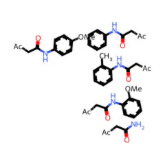 CC(=O)CC(=O)Nc1ccccc1.CC(=O)CC(=O)Nc1ccccc1C.CC(=O)CC(N)=O.COc1ccc(NC(=O)CC(C)=O)cc1.COc1ccccc1NC(=O)CC(C)=O